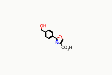 O=C(O)c1coc(-c2ccc(CO)cc2)n1